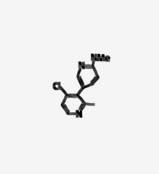 CNc1ccc(-c2c(Cl)ccnc2C)cn1